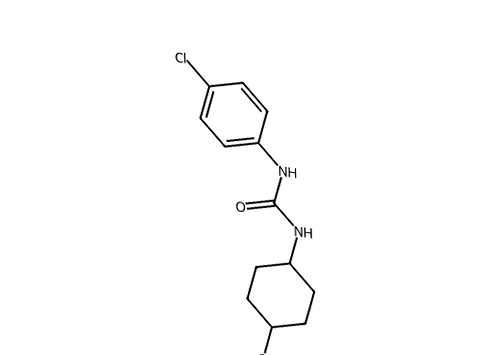 O=C(Nc1ccc(Cl)cc1)NC1CCC(O)CC1